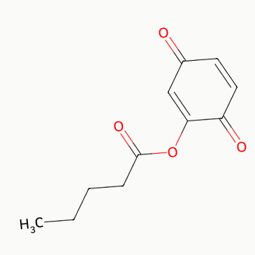 CCCCC(=O)OC1=CC(=O)C=CC1=O